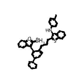 Bc1oc2ccccc2c1-c1cc(-c2ccccc2)ccc1CCCc1sc2ccccc2c1Nc1ccc(C)cc1